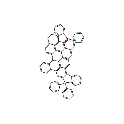 C1=CC2=CC=CC(c3ccccc3N(c3ccccc3-c3ccc4c(c3)C(c3ccccc3)(c3ccccc3)c3ccccc3-4)c3ccccc3-c3ccc4c5ccccc5n(-c5ccccc5)c4c3)C2C(C2CCCCC2)=C1